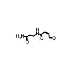 NC(=O)CCNC(=O)/C=C\C=O